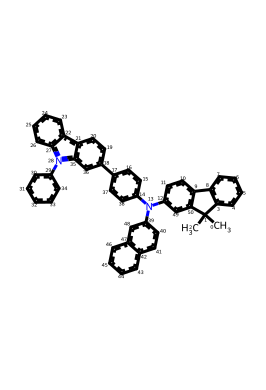 CC1(C)c2ccccc2-c2ccc(N(c3ccc(-c4ccc5c6ccccc6n(-c6ccccc6)c5c4)cc3)c3ccc4ccccc4c3)cc21